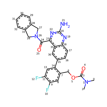 CN(C)C(=O)OCc1cc(F)c(F)cc1-c1ccc2nc(N)nc(C(=O)N3Cc4ccccc4C3)c2c1